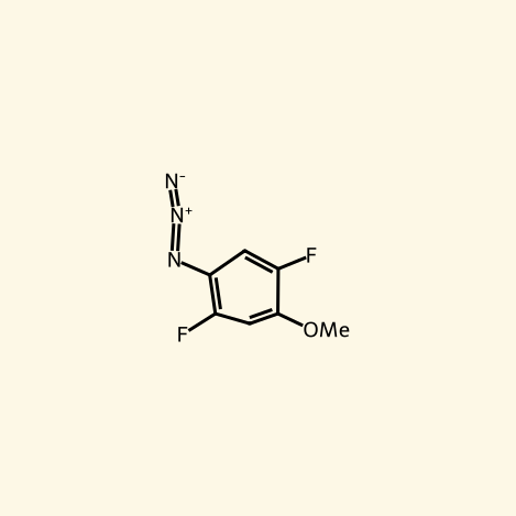 COc1cc(F)c(N=[N+]=[N-])cc1F